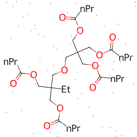 CCCC(=O)OCC(CC)(COCC(COC(=O)CCC)(COC(=O)CCC)COC(=O)CCC)COC(=O)CCC